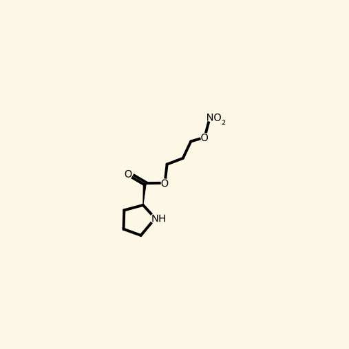 O=C(OCCCO[N+](=O)[O-])[C@@H]1CCCN1